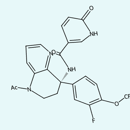 CC(=O)N1CC[C@](NC(=O)c2ccc(=O)[nH]c2)(c2ccc(OC(F)(F)F)c(F)c2)c2ncccc21